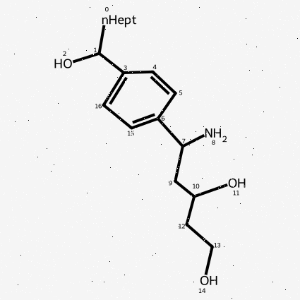 CCCCCCCC(O)c1ccc(C(N)CC(O)CCO)cc1